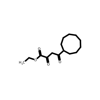 CCOC(=O)C(=O)CC(=O)C1CCCCCCCC1